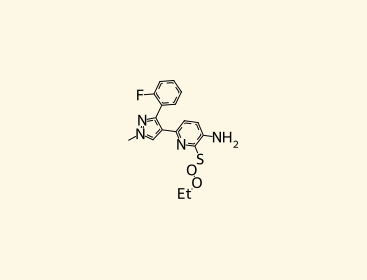 CCOOSc1nc(-c2cn(C)nc2-c2ccccc2F)ccc1N